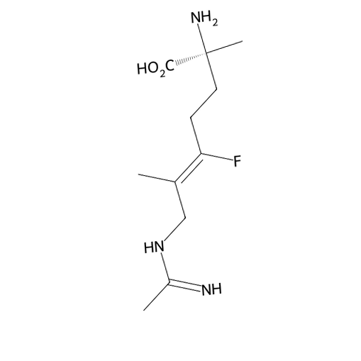 CC(=N)NC/C(C)=C(\F)CC[C@](C)(N)C(=O)O